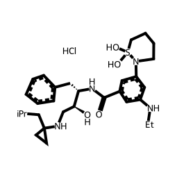 CCNc1cc(C(=O)N[C@@H](Cc2ccccc2)[C@@H](O)CNC2(CC(C)C)CC2)cc(N2CCCCS2(O)O)c1.Cl